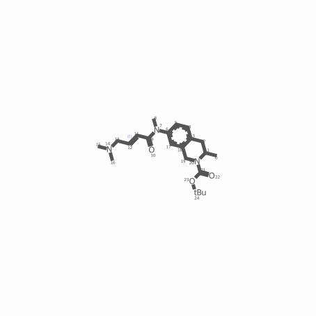 CC1Cc2ccc(N(C)C(=O)/C=C/CN(C)C)cc2CN1C(=O)OC(C)(C)C